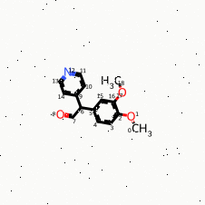 COc1ccc(C(C=O)c2ccncc2)cc1OC